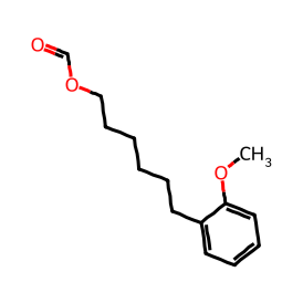 COc1ccccc1CCCCCCOC=O